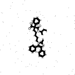 CCC(C)OC(=O)C(CCCCCn1c(C)nc(-c2ccccc2)c1-c1ccccc1)(C(=O)O)c1ccccc1